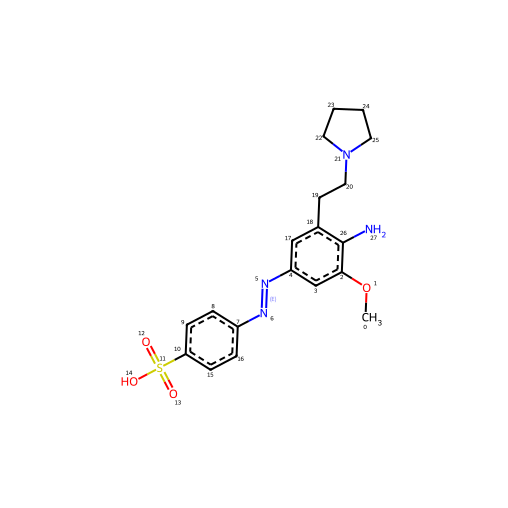 COc1cc(/N=N/c2ccc(S(=O)(=O)O)cc2)cc(CCN2CCCC2)c1N